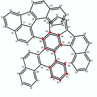 c1ccc(-c2cccc(-c3ccc4cccc5c4c3-c3c-5ccc4ccccc34)c2-c2ccc3ccccc3c2-c2ccccc2-c2ccc3cccc4c3c2-c2c-4ccc3ccccc23)cc1